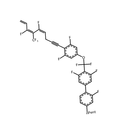 C=C/C(F)=C(\C(F)=C/CC#Cc1c(F)cc(OC(F)(F)c2c(F)cc(-c3ccc(CCCCC)cc3F)cc2F)cc1F)C(F)(F)F